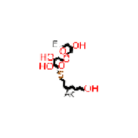 CC[C@@H]1C[C@H](O)CC(O[C@@H]2C[C@@H](O)[C@H](O)[C@@H](CSCCCC(CCCCO)C(C)=O)O2)O1